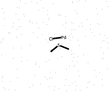 CSC.[Cl][Pd]